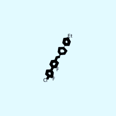 CCc1ccc([C@H]2CC[C@H](CCc3ccc(-c4ccc(Cl)c(F)c4)c(F)c3)CC2)cc1